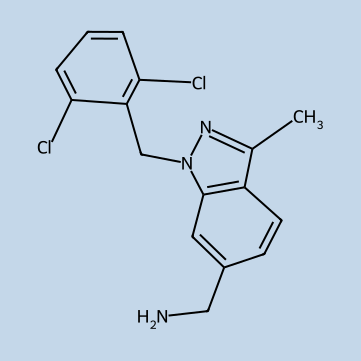 Cc1nn(Cc2c(Cl)cccc2Cl)c2cc(CN)ccc12